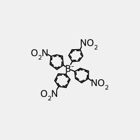 O=[N+]([O-])c1ccc([B-](c2ccc([N+](=O)[O-])cc2)(c2ccc([N+](=O)[O-])cc2)c2ccc([N+](=O)[O-])cc2)cc1